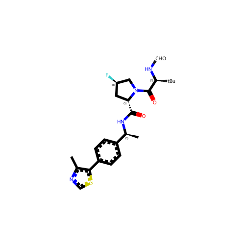 Cc1ncsc1-c1ccc([C@H](C)NC(=O)[C@@H]2C[C@@H](F)CN2C(=O)[C@@H](NC=O)C(C)(C)C)cc1